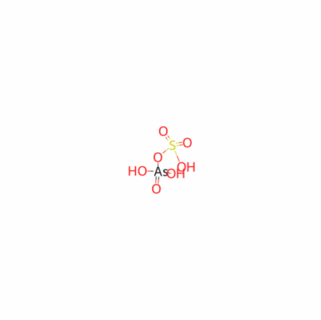 O=S(=O)(O)O[As](=O)(O)O